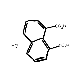 Cl.O=C(O)c1cccc2cccc(C(=O)O)c12